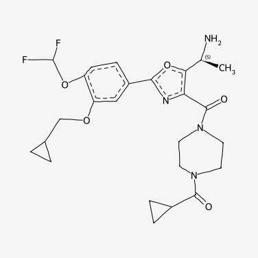 C[C@H](N)c1oc(-c2ccc(OC(F)F)c(OCC3CC3)c2)nc1C(=O)N1CCN(C(=O)C2CC2)CC1